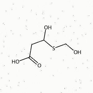 O=C(O)CC(O)SCO